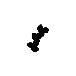 Cc1ccc(C)c(N(c2ccccc2)c2ccc3cc4c(cc3c2)C([Si](C)(C)C)([Si](C)(C)C)c2cc3cc(N(c5ccccc5)c5cc(C)ccc5C)ccc3cc2-4)c1